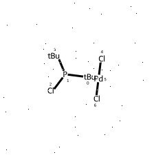 CC(C)(C)P(Cl)C(C)(C)C.[Cl][Pd][Cl]